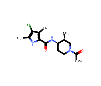 COC(=O)N1CC[C@@H](NC(=O)c2[nH]c(C)c(Cl)c2C#N)[C@@H](C)C1